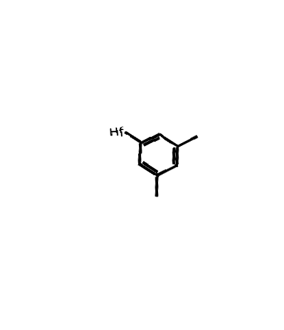 Cc1cc(C)c[c]([Hf])c1